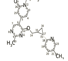 CCn1ccc(-c2cnc(C)nc2OCC2C[C@@H]2c2ccc(C)cn2)cc1=O